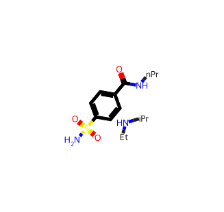 CCCNC(=O)c1ccc(S(N)(=O)=O)cc1.CCNC(C)C